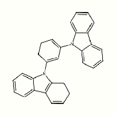 C1=Cc2c(n(C3=CC(n4c5ccccc5c5ccccc54)=CCC3)c3ccccc23)CC1